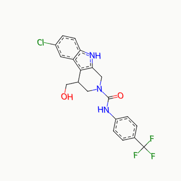 O=C(Nc1ccc(C(F)(F)F)cc1)N1Cc2[nH]c3ccc(Cl)cc3c2C(CO)C1